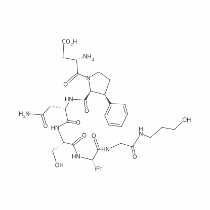 CC(C)[C@H](NC(=O)[C@H](CO)NC(=O)[C@H](CC(N)=O)NC(=O)[C@@H]1[C@H](c2ccccc2)CCN1C(=O)[C@@H](N)CC(=O)O)C(=O)NCC(=O)NCCCO